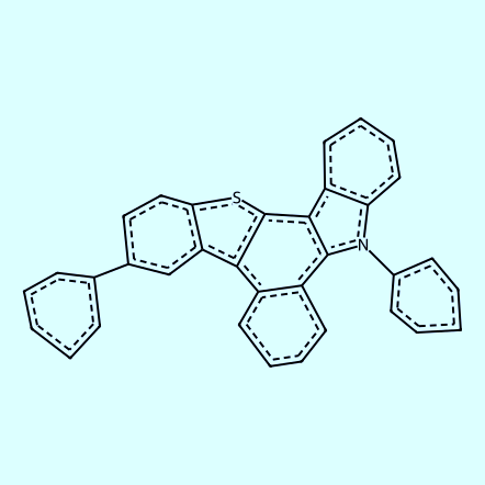 c1ccc(-c2ccc3sc4c(c3c2)c2ccccc2c2c4c3ccccc3n2-c2ccccc2)cc1